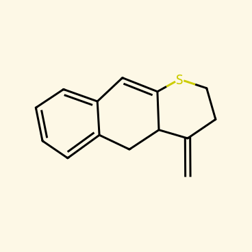 C=C1CCSC2=Cc3ccccc3CC12